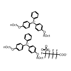 CCCCCCCCOc1ccc([S+](c2ccccc2)c2ccc(OCCCCCCCC)cc2)cc1.CCCCCCCCOc1ccc([S+](c2ccccc2)c2ccc(OCCCCCCCC)cc2)cc1.O=C([O-])C(F)(F)C(F)(F)C(F)(F)C(F)(F)S(=O)(=O)[O-]